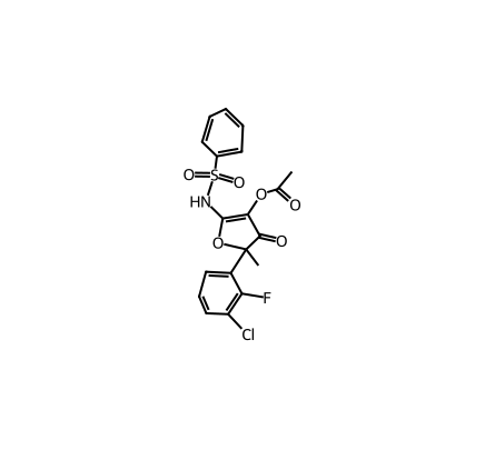 CC(=O)OC1=C(NS(=O)(=O)c2ccccc2)OC(C)(c2cccc(Cl)c2F)C1=O